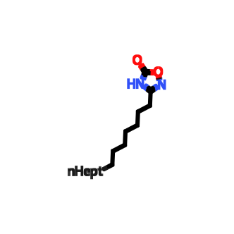 CCCCCCCCCCCCCCc1noc(=O)[nH]1